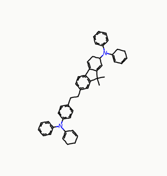 CC1(C)C2=CC(N(C3=CC=CCC3)c3ccccc3)CC=C2c2ccc(CCc3ccc(N(C4=CCCC=C4)c4ccccc4)cc3)cc21